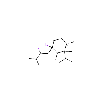 CC(C)C(I)CC1(I)CC[C@@H](C)C(C)(C(C)C)C1C